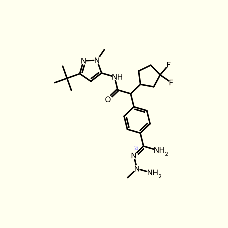 CN(N)/N=C(\N)c1ccc(C(C(=O)Nc2cc(C(C)(C)C)nn2C)C2CCC(F)(F)C2)cc1